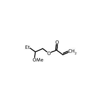 C=CC(=O)OCC(CC)OC